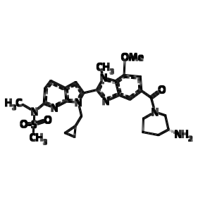 COc1cc(C(=O)N2CCC[C@@H](N)C2)cc2nc(-c3cc4ccc(N(C)S(C)(=O)=O)nc4n3CC3CC3)n(C)c12